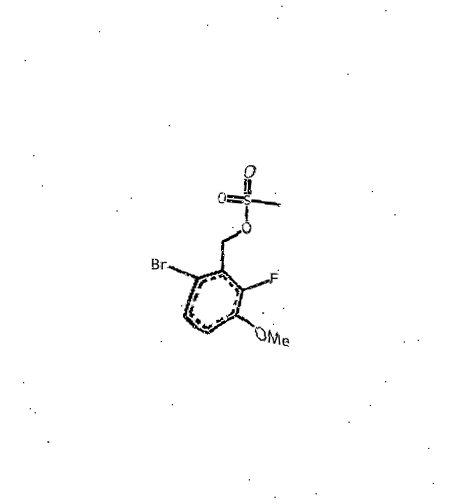 COc1ccc(Br)c(COS(C)(=O)=O)c1F